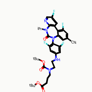 CC(C)N1C(=O)N(c2c(F)cc(NCCN(CCCC(=O)OC(C)(C)C)C(=O)OC(C)(C)C)cc2F)c2cc(C#N)cc(F)c2-c2cc(F)cnc21